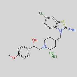 COc1ccc(C(O)CN2CCC(Cn3c(=N)sc4cc(Cl)ccc43)CC2)cc1.Cl.Cl